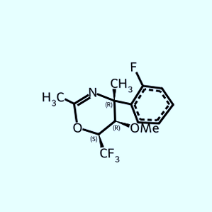 CO[C@H]1[C@@H](C(F)(F)F)OC(C)=N[C@]1(C)c1ccccc1F